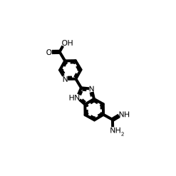 N=C(N)c1ccc2[nH]c(-c3ccc(C(=O)O)cn3)nc2c1